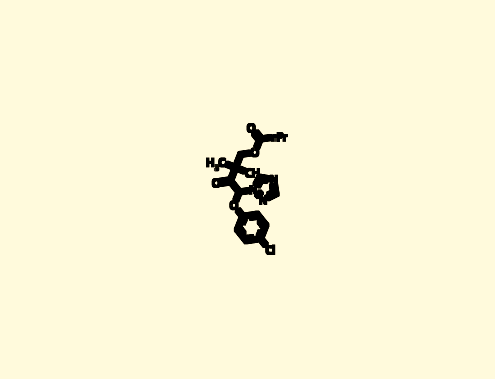 CCCC(=O)OCC(C)(C)C(=O)C(Oc1ccc(Cl)cc1)n1cncn1